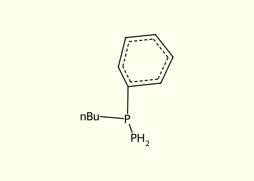 CCCCP(P)c1ccccc1